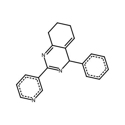 C1=C2C(=NC(c3cccnc3)=NC2c2ccccc2)CCC1